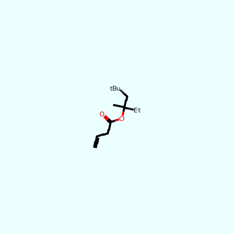 C=CCC(=O)OC(C)(CC)CC(C)(C)C